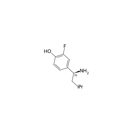 CC(C)C[C@H](N)c1ccc(O)c(F)c1